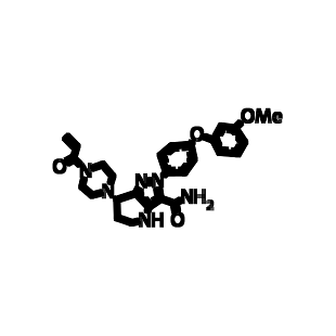 C=CC(=O)N1CCN([C@H]2CCNc3c2nn(-c2ccc(Oc4cccc(OC)c4)cc2)c3C(N)=O)CC1